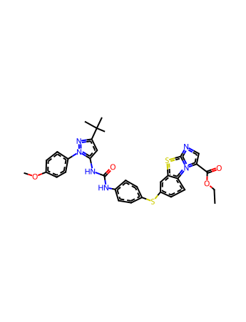 CCOC(=O)c1cnc2sc3cc(Sc4ccc(NC(=O)Nc5cc(C(C)(C)C)nn5-c5ccc(OC)cc5)cc4)ccc3n12